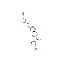 CN(C)c1cccc(C(=O)N2CCC3(CC2)CC(OC(=O)NCCC#N)=NO3)c1